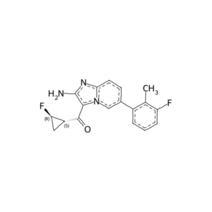 Cc1c(F)cccc1-c1ccc2nc(N)c(C(=O)[C@@H]3C[C@H]3F)n2c1